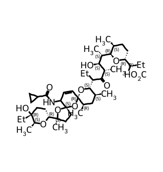 CCC(C(=O)[C@@H](C)[C@@H](O)[C@H](C)[C@@H]1O[C@@H]([C@@H](CC)C(=O)O)CC[C@@H]1C)[C@H]1O[C@]2(C=CC(NC(=O)C3CC3)[C@]3(CC[C@@](C)([C@H]4CC[C@](O)(CC)[C@H](C)O4)O3)O2)[C@H](C)C[C@@H]1C